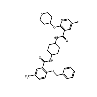 O=C(NC1CCC(NC(=O)c2cc(F)cnc2OC2CCSCC2)CC1)c1cc(C(F)(F)F)ccc1OCc1ccccc1